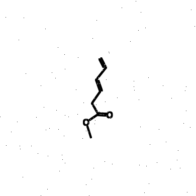 C=CC=CCC(=O)OC